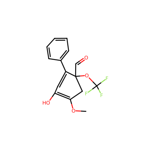 COC1=C(O)C=C(c2ccccc2)C(C=O)(OC(F)(F)F)C1